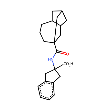 O=C(NC1(C(=O)O)Cc2ccccc2C1)C12CCCC3CC(CC3C1)C2